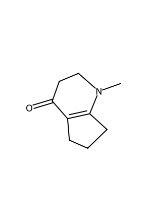 CN1CCC(=O)C2=C1CCC2